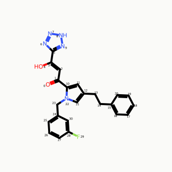 O=C(C=C(O)c1nn[nH]n1)c1cc(CCc2ccccc2)cn1Cc1cccc(F)c1